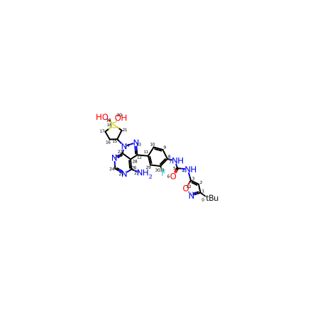 CC(C)(C)c1cc(NC(=O)Nc2ccc(-c3nn(C4CCS(O)(O)C4)c4ncnc(N)c34)cc2F)on1